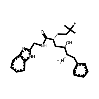 CC(C)(F)CC[C@H](C[C@H](O)[C@@H](N)Cc1ccccc1)C(=O)NCc1nc2ccccc2[nH]1